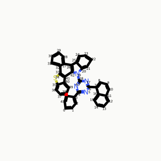 c1ccc(-c2nc(-c3cccc4ccccc34)nc(-n3c4ccccc4c4c5ccccc5c5sc6ccccc6c5c43)n2)cc1